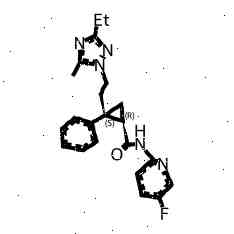 CCc1nc(C)n(CC[C@@]2(c3ccccc3)C[C@H]2C(=O)Nc2ccc(F)cn2)n1